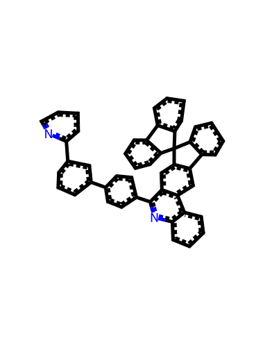 c1ccc(-c2cccc(-c3ccc(-c4nc5ccccc5c5cc6c(cc45)C4(c5ccccc5-c5ccccc54)c4ccccc4-6)cc3)c2)nc1